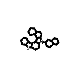 c1ccc2cc(-n3c4ccc5ccccc5c4c4c5c(ccc43)sc3ccccc35)ccc2c1